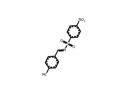 N#Cc1ccc(/C=N/S(=O)(=O)c2ccc([N+](=O)[O-])cc2)cc1